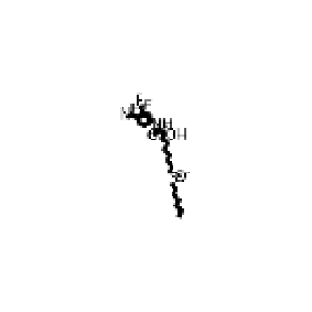 CCCCCCC[S+]([O-])CCCCCCC[C@](C)(O)C(=O)Nc1ccc(C#N)c(C(F)(F)F)c1